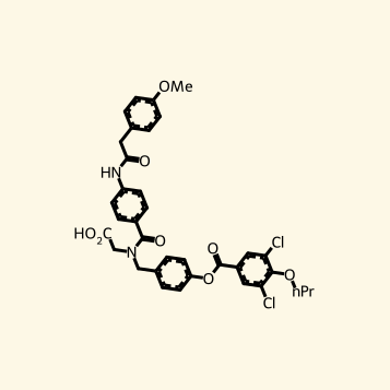 CCCOc1c(Cl)cc(C(=O)Oc2ccc(CN(CC(=O)O)C(=O)c3ccc(NC(=O)Cc4ccc(OC)cc4)cc3)cc2)cc1Cl